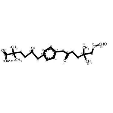 COC(=O)C(C)(C)CCC(=O)Cc1ccc(CC(=O)CCC(C)(C)COC=O)cc1